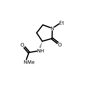 CCN1CC[C@@H](NC(=O)NC)C1=O